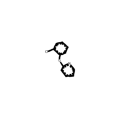 Clc1ccccc1Oc1[c]cccn1